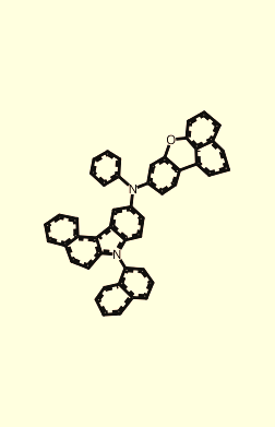 c1ccc(N(c2ccc3c(c2)Oc2cccc4cccc-3c24)c2ccc3c(c2)c2c4ccccc4ccc2n3-c2cccc3ccccc23)cc1